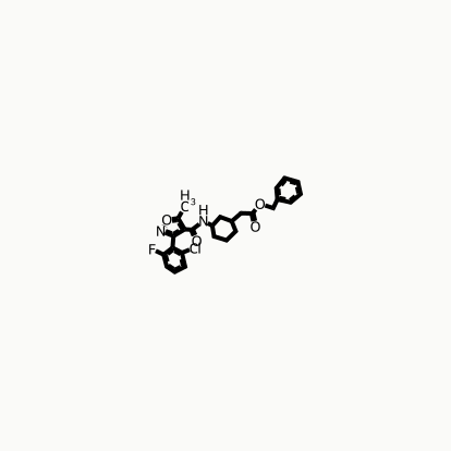 Cc1onc(-c2c(F)cccc2Cl)c1C(=O)NC1CCCC(CC(=O)OCc2ccccc2)C1